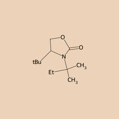 CCC(C)(C)N1C(=O)OCC1C(C)(C)C